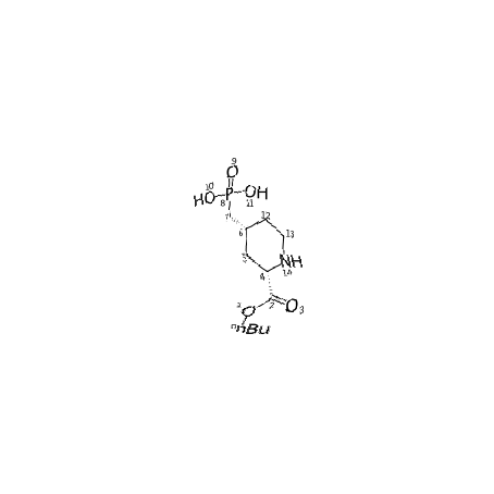 CCCCOC(=O)[C@@H]1C[C@H](CP(=O)(O)O)CCN1